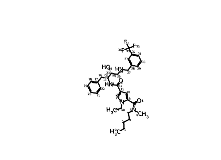 CCCCCN(C)C(=O)c1cc(C(=O)N[C@@H](Cc2ccccc2)[C@H](O)CNCc2cccc(C(F)(F)F)c2)nn1CC